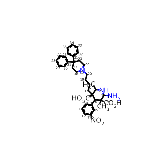 CC1N[C@@H](N)C(C)(C(=O)O)C(c2cccc([N+](=O)[O-])c2)C1(CCCCN1CCC(c2ccccc2)(c2ccccc2)CC1)C(=O)O